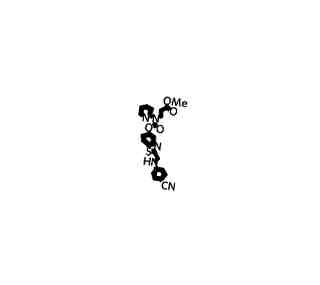 COC(=O)CCN(C(=O)Oc1ccc2sc(CNc3ccc(C#N)cc3)nc2c1)c1ccccn1